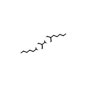 CCCCCC1COC(C2COC(CCCCC)OC2)OC1